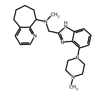 CN1CCN(c2cccc3[nH]c(CN(C)C4CCCCc5cccnc54)nc23)CC1